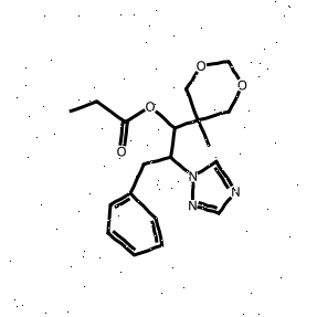 CCC(=O)OC(C(Cc1ccccc1)n1cncn1)C1(C)COCOC1